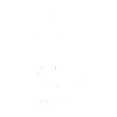 CN[C@H](C(=O)N1C[C@H](O)C[C@H]1C(=O)N[C@@H](CO)c1ccc(-c2c(F)cc(F)cc2F)cc1)C(C)C